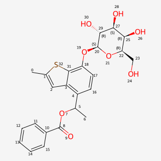 Cc1cc2c(C(C)OC(=O)c3ccccc3)ccc(O[C@@H]3O[C@H](CO)[C@H](O)[C@H](O)[C@H]3O)c2s1